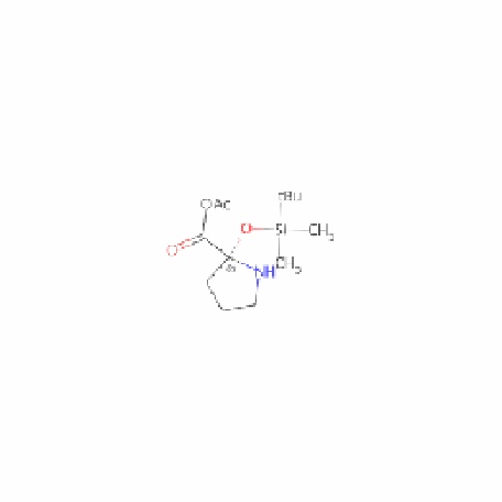 CC(=O)OC(=O)[C@]1(O[Si](C)(C)C(C)(C)C)CCCN1